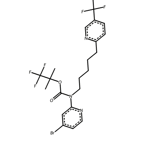 CC(F)(F)c1ccc(CCCCCN(C(=O)OC(C)(C)C(F)(F)F)c2cc(Br)ccn2)nc1